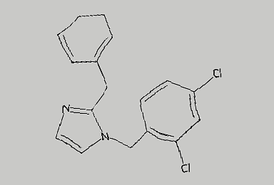 Clc1ccc(Cn2ccnc2CC2=CCCC=C2)c(Cl)c1